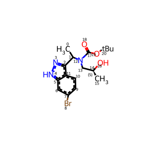 CC(c1n[nH]c2cc(Br)ccc12)N(C[C@H](C)O)C(=O)OC(C)(C)C